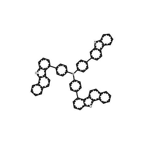 c1ccc2c(c1)ccc1c2oc2cccc(-c3ccc(N(c4ccc(-c5ccc6c(c5)sc5ccccc56)cc4)c4ccc(-c5cccc6oc7c8ccccc8ccc7c56)cc4)cc3)c21